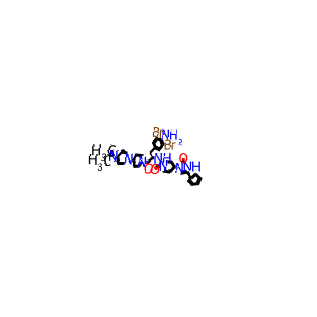 CN(C)C1CCN(C2CCN(C(=O)[C@@H](Cc3cc(Br)c(N)c(Br)c3)NC(=O)N3CCC(n4cc(-c5ccccc5)[nH]c4=O)CC3)CC2)CC1